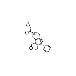 COCC(=O)N1CCc2nc(-c3ccccc3)c3c(c2C1)CO[C@@H](C)C3